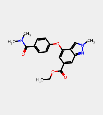 CCOC(=O)c1cc(Oc2ccc(C(=O)N(C)C)cc2)c2cn(C)nc2c1